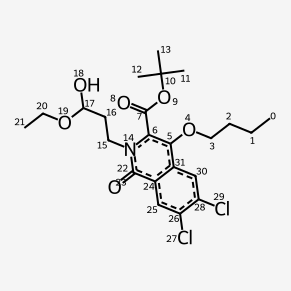 CCCCOc1c(C(=O)OC(C)(C)C)n(CCC(O)OCC)c(=O)c2cc(Cl)c(Cl)cc12